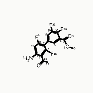 COC(=O)c1cc(-c2c(F)cc(N)c(C(C)=O)c2F)cc(F)c1F